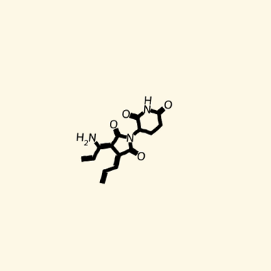 C=C/C=C1/C(=O)N(C2CCC(=O)NC2=O)C(=O)/C1=C(\N)C=C